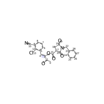 CC(=O)/C(=C/c1cccc(C#N)c1Cl)OC(=O)C1CC(=O)N(Cc2ccccc2)C1=O